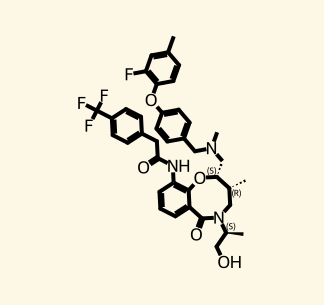 Cc1ccc(Oc2ccc(CN(C)C[C@H]3Oc4c(NC(=O)Cc5ccc(C(F)(F)F)cc5)cccc4C(=O)N([C@@H](C)CO)C[C@H]3C)cc2)c(F)c1